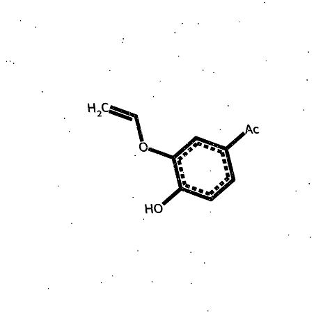 C=COc1cc(C(C)=O)ccc1O